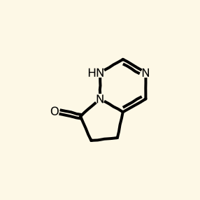 O=C1CCC2=CN=CNN12